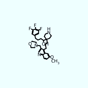 COc1ccc2ncc(CN3CCOCC3)c(CCCC3(C(O)CCCc4cc(F)c(F)c(F)c4)CCNCC3)c2c1